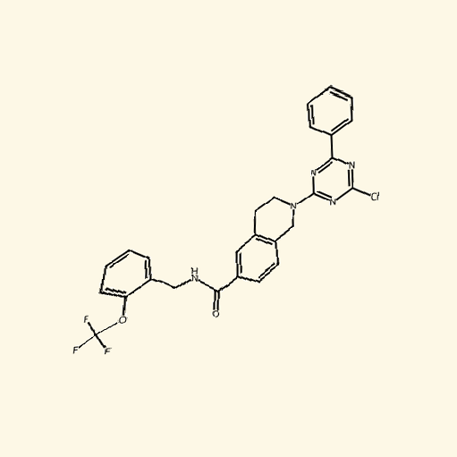 O=C(NCc1ccccc1OC(F)(F)F)c1ccc2c(c1)CCN(c1nc(Cl)nc(-c3ccccc3)n1)C2